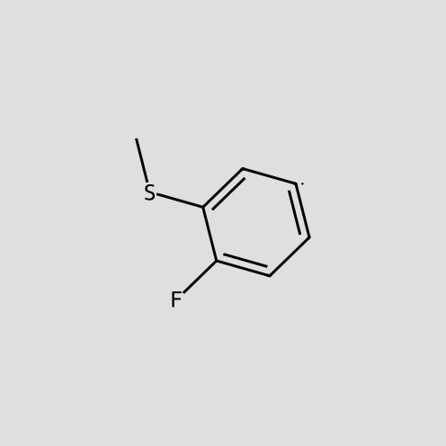 CSc1c[c]ccc1F